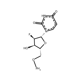 O=c1ccn([C@@H]2O[C@H](COP)[C@@H](O)[C@H]2F)c(=O)[nH]1